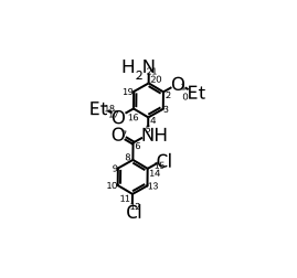 CCOc1cc(NC(=O)c2ccc(Cl)cc2Cl)c(OCC)cc1N